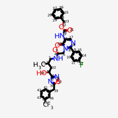 CC(CNC(=O)Cn1c(-c2ccc(F)cc2)ncc(NC(=O)OCc2ccccc2)c1=O)C[C@H](O)c1noc(Cc2cccc(C(F)(F)F)c2)n1